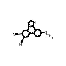 COc1ccc2c3cc(C#N)c(C#N)cc3n3ccnc3c2c1